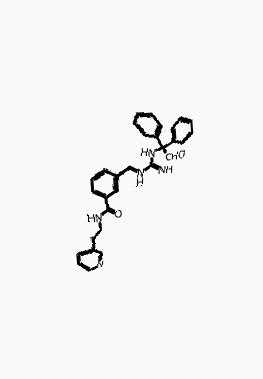 N=C(NCc1cccc(C(=O)NCCc2cccnc2)c1)NC(C=O)(c1ccccc1)c1ccccc1